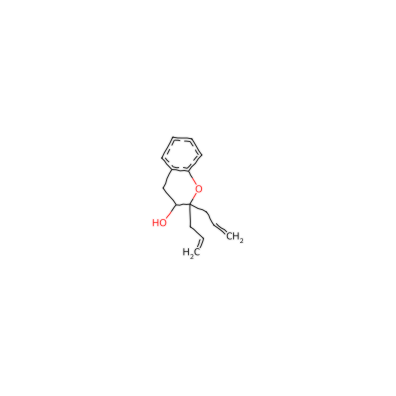 C=CCC1(CC=C)Oc2ccccc2CC1O